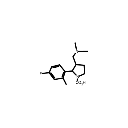 Cc1cc(F)ccc1C1C(CN(C)C)CCN1C(=O)O